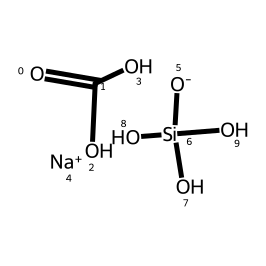 O=C(O)O.[Na+].[O-][Si](O)(O)O